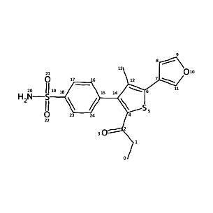 CCC(=O)c1sc(-c2ccoc2)c(C)c1-c1ccc(S(N)(=O)=O)cc1